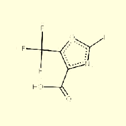 O=C(O)c1nc(I)oc1C(F)(F)F